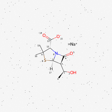 C[C@H](O)[C@@H]1C(=O)N2[C@@H]1SC(C)(C)[C@@H]2C(=O)[O-].[Na+]